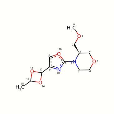 COC[C@H]1COCCN1c1nc(C2OC(C)O2)co1